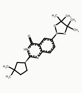 CC1(C)CC[C@H](c2nc3ccc(B4OC(C)(C)C(C)(C)O4)cc3c(=O)[nH]2)C1